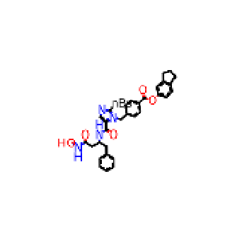 CCCCc1ncc(C(=O)NC(CC(=O)NO)Cc2ccccc2)n1Cc1ccc(C(=O)Oc2ccc3c(c2)CCC3)cc1